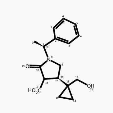 C[C@@H](c1ccccc1)N1C[C@@H](C2(CO)CC2)C(C(=O)O)C1=O